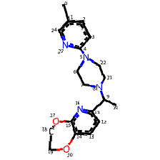 Cc1ccc(N2CCN(C(C)c3ccc4c(n3)OCCO4)CC2)nc1